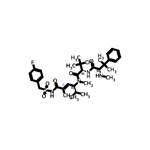 CN[C@H](C(=O)N[C@H](C(=O)N(C)[C@H](/C=C(\C)C(=O)NS(=O)(=O)Cc1ccc(F)cc1)C(C)C)C(C)(C)C)C(C)(C)c1ccccc1